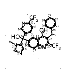 Cn1cncc1C(O)(c1ccc(C(F)(F)F)nc1)c1ccc2nc(C(F)(F)F)c(Cc3ccccc3)c(O)c2c1